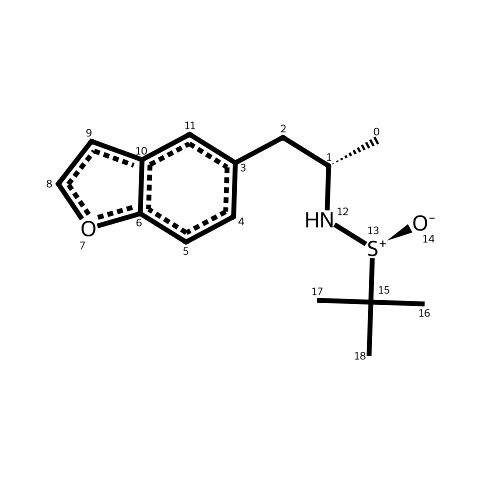 C[C@@H](Cc1ccc2occc2c1)N[S@@+]([O-])C(C)(C)C